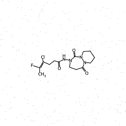 C/C(F)=C(/Cl)CCC(=O)NN1CCC(=O)N2CCCCN2C1=O